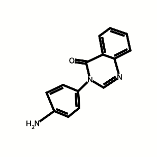 Nc1ccc(-n2cnc3ccccc3c2=O)cc1